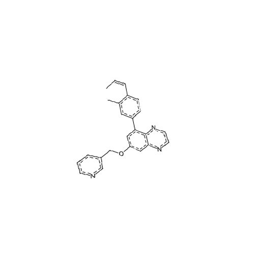 C/C=C\c1ccc(-c2cc(OCc3cccnc3)cc3nccnc23)cc1C